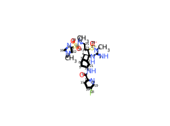 CN1C(=N)N[C@@]2(Cc3ccc(NC(=O)c4ccc(F)cn4)cc32)C(CCN(C)S(=O)(=O)c2cn(C)cn2)[S+]1[O-]